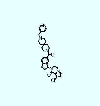 O=C(c1ccc2c(c1)C(N1CCn3ccc(Cl)c3C1=O)CC2)N1CCC2(CCN(Cc3ccncc3)CC2)CC1